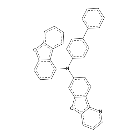 c1ccc(-c2ccc(N(c3ccc4c(c3)oc3cccnc34)c3cccc4oc5ccccc5c34)cc2)cc1